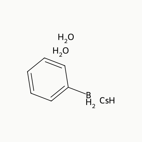 Bc1ccccc1.O.O.[CsH]